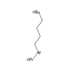 CCCCCCC[CH2][Al][CH2]CC